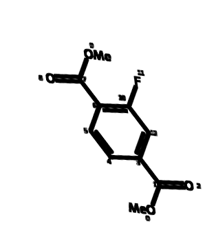 COC(=O)c1ccc(C(=O)OC)c(F)c1